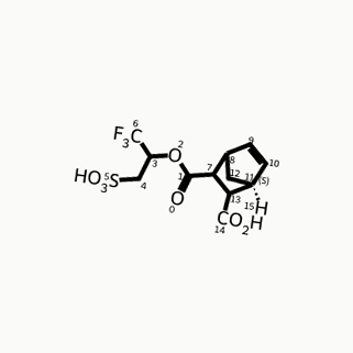 O=C(OC(CS(=O)(=O)O)C(F)(F)F)C1C2C=C[C@H](C2)C1C(=O)O